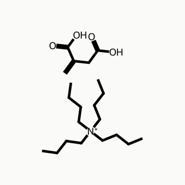 C=C(CC(=O)O)C(=O)O.CCCC[N+](CCCC)(CCCC)CCCC